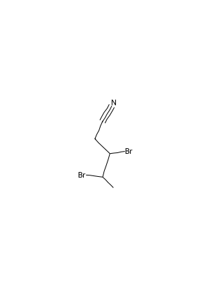 CC(Br)C(Br)CC#N